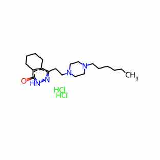 CCCCCCN1CCN(CCc2n[nH]c(=O)c3c2CCCC3)CC1.Cl.Cl